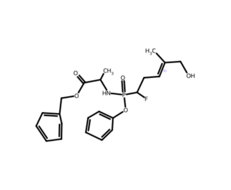 C/C(=C\CC(F)P(=O)(NC(C)C(=O)OCc1ccccc1)Oc1ccccc1)CO